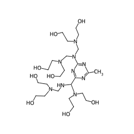 Cc1nc(C(NCN(CCO)CCO)N(CCO)CCO)nc(N(CN(CCO)CCO)CN(CCO)CCO)n1